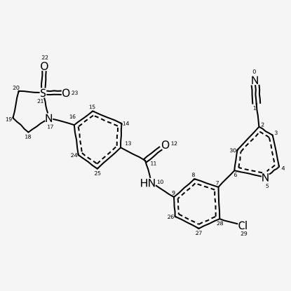 N#Cc1ccnc(-c2cc(NC(=O)c3ccc(N4CCCS4(=O)=O)cc3)ccc2Cl)c1